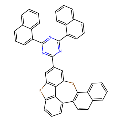 c1ccc2c(-c3nc(-c4cc5sc6cccc7c8ccc9ccccc9c8sc(c4)c5c67)nc(-c4cccc5ccccc45)n3)cccc2c1